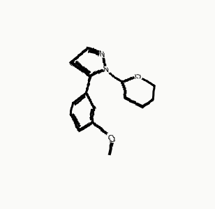 COc1cccc(-c2ccnn2C2CCCCO2)c1